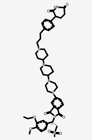 CCOc1cc([C@@H](CS(C)(=O)=O)N2C(=O)c3ccc(N4CCN(C5CCN(C6CCN(CCCc7ccc(C8CCC(=O)NC8=O)cc7)CC6)CC5)CC4)cc3C2=O)ccc1OC